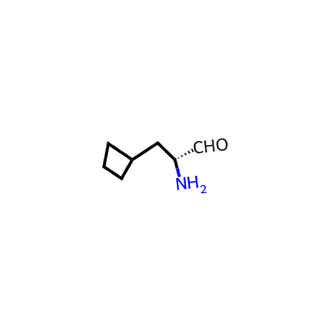 N[C@@H](C=O)CC1CCC1